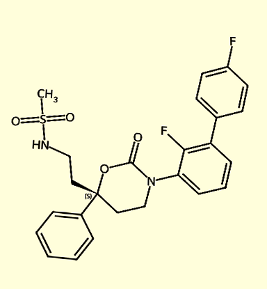 CS(=O)(=O)NCC[C@]1(c2ccccc2)CCN(c2cccc(-c3ccc(F)cc3)c2F)C(=O)O1